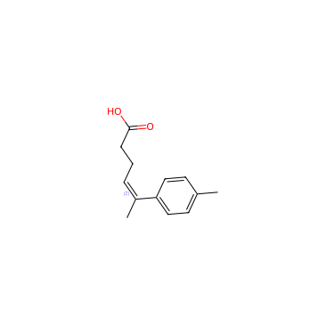 C/C(=C/CCC(=O)O)c1ccc(C)cc1